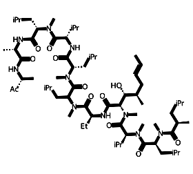 C/C=C/C[C@@H](C)[C@@H](O)[C@@H](C(=O)N[C@@H](CC)C(=O)N(C)C(CC(C)C)C(=O)N(C)[C@@H](CC(C)C)C(=O)N[C@H](C(=O)N(C)[C@@H](CC(C)C)C(=O)N[C@@H](C)C(=O)N[C@H](C)C(C)=O)C(C)C)N(C)C(=O)[C@H](C(C)C)N(C)C(=O)[C@H](CC(C)C)N(C)C(=O)[C@H](C)CC(C)C